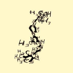 C=C/C(C)=C(NC(=O)c1cnc(Nc2cc(N3CCN(CNC[Si](C)(C)O)CC3)nc(C)n2)s1)\C(Cl)=C/C